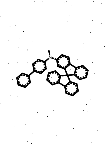 CN(c1ccc(-c2ccccc2)cc1)c1ccc2c(c1)C1(c3ccccc3-c3ccccc31)c1ccccc1-2